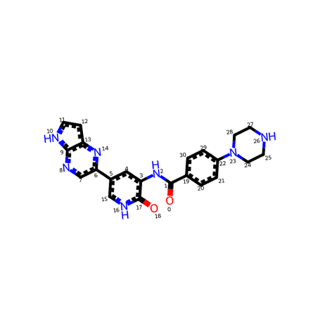 O=C(Nc1cc(-c2cnc3[nH]ccc3n2)c[nH]c1=O)c1ccc(N2CCNCC2)cc1